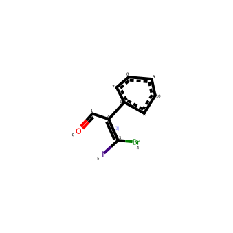 O=C/C(=C(/Br)I)c1ccccc1